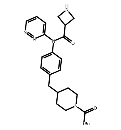 CC(C)(C)C(=O)N1CCC(Cc2ccc(N(C(=O)C3CNC3)c3cccnn3)cc2)CC1